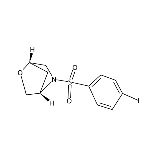 O=S(=O)(c1ccc(I)cc1)N1C[C@@H]2C[C@H]1CO2